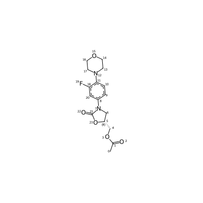 CC(=O)OC[C@H]1CN(c2ccc(N3CCOCC3)c(F)c2)C(=O)O1